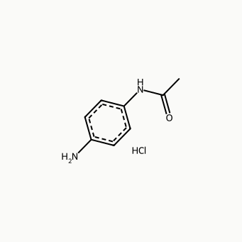 CC(=O)Nc1ccc(N)cc1.Cl